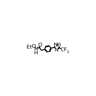 CCONC(=O)Cc1ccc(-c2noc(C(F)(F)F)n2)cc1